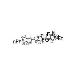 CCCC1CCC2CC(CCc3ccc(COc4ccc(OCC)c(F)c4F)cc3)CCC2C1